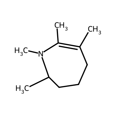 CC1=C(C)N(C)C(C)CCC1